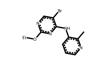 CCOc1ncc(Br)c(Nc2cccnc2C)n1